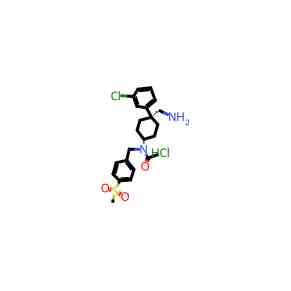 CC(=O)N(Cc1ccc(S(C)(=O)=O)cc1)[C@H]1CC[C@](CN)(c2cccc(Cl)c2)CC1.Cl